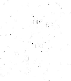 Cl.N=C(N)c1ccc(C=CC(=O)Cl)cc1